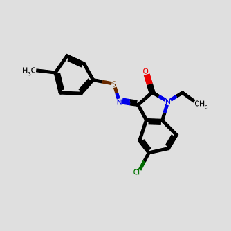 CCN1C(=O)/C(=N\Sc2ccc(C)cc2)c2cc(Cl)ccc21